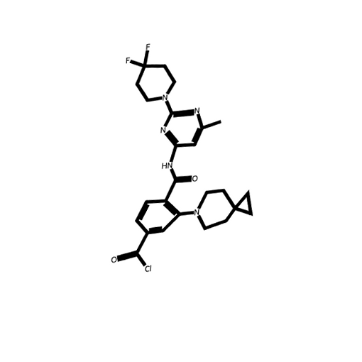 Cc1cc(NC(=O)c2ccc(C(=O)Cl)cc2N2CCC3(CC2)CC3)nc(N2CCC(F)(F)CC2)n1